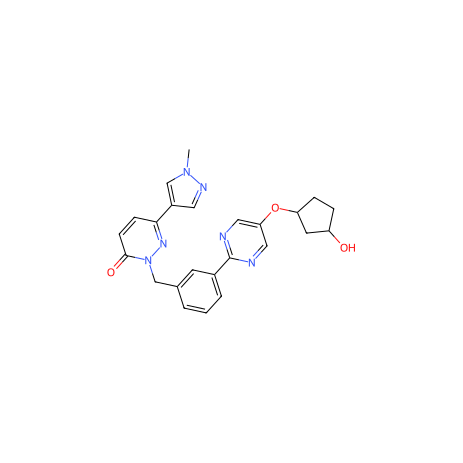 Cn1cc(-c2ccc(=O)n(Cc3cccc(-c4ncc(OC5CCC(O)C5)cn4)c3)n2)cn1